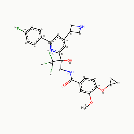 COc1cc(C(=O)NCC(O)(c2cc(C3CNC3)cc(-c3ccc(F)cc3)n2)C(F)(F)F)ccc1OC1CC1